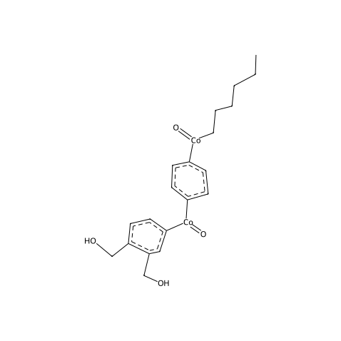 CCCCC[CH2][Co](=[O])[c]1cc[c]([Co](=[O])[c]2ccc(CO)c(CO)c2)cc1